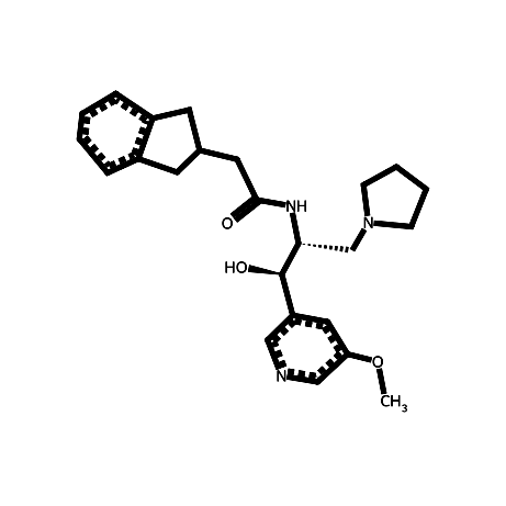 COc1cncc([C@@H](O)[C@@H](CN2CCCC2)NC(=O)CC2Cc3ccccc3C2)c1